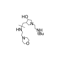 CC(C)(C)NCCN1CC(O)C(CC(C)(C)NCCN2CCOCC2)C1